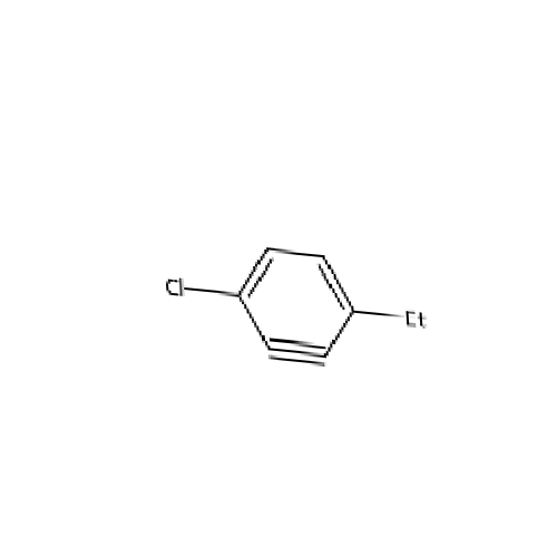 CCc1c#cc(Cl)cc1